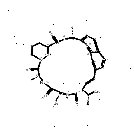 CC(C)[C@@H]1NC(=O)[C@@H]([C@H](C)O)/C=C/c2ccc3ccc(nc3c2)[C@@H](C)OC(=O)[C@@H]2CCCN(N2)C(=O)[C@H](C)NC1=O